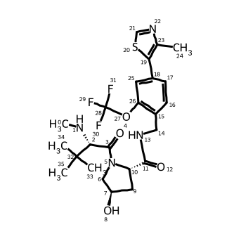 CN[C@H](C(=O)N1C[C@H](O)C[C@H]1C(=O)NCc1ccc(-c2scnc2C)cc1OC(F)(F)F)C(C)(C)C